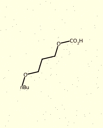 CCCCOCCCOC(=O)O